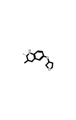 CC1Cc2cc(OC3CCOC3)ccc2N[C@H]1C